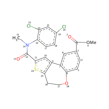 COC(=O)c1ccc2c(c1)-c1cc(C(=O)N(C)c3ccc(Cl)cc3Cl)sc1CCO2